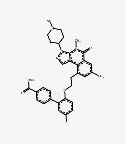 CNC(=O)c1ccc(-c2nc(Cl)ccc2OCCc2cc(C)cc3c(=O)n(C)c4c(cnn4C4CCN(C(C)=O)CC4)c23)cn1